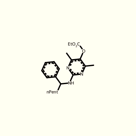 CCCCCC(Nc1nc(C)c(OC(=O)OCC)c(C)n1)c1ccccc1